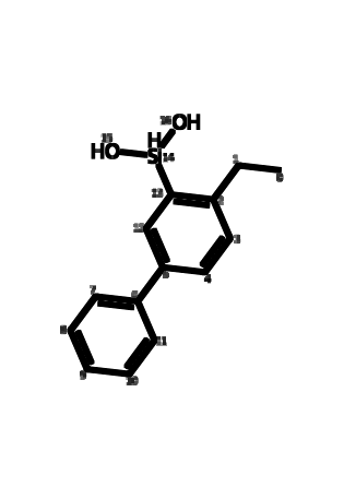 CCc1ccc(-c2ccccc2)cc1[SiH](O)O